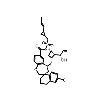 C=C[C@H](O)[C@@H]1CC[C@H]1CN1C[C@@]2(CCCc3cc(Cl)ccc32)COc2ccc(C(=O)NS(=O)(=O)CC3CC3/C=C/C)cc21